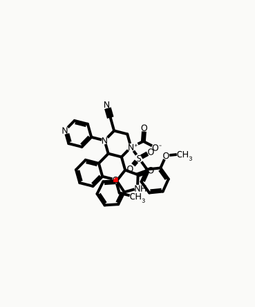 CCOc1ccccc1C1C(C2C(=O)Nc3ccccc32)[N+](C(=O)[O-])(S(=O)(=O)c2ccccc2OC)CC(C#N)N1c1ccncc1